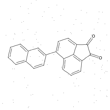 O=C1C(=O)c2ccc(-c3ccc4ccccc4c3)c3cccc1c23